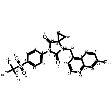 O=C1N(c2ccc(S(=O)(=O)C(F)(F)F)cc2)C(=O)C2(CC2)N1Cc1ccnc2cc(F)ccc12